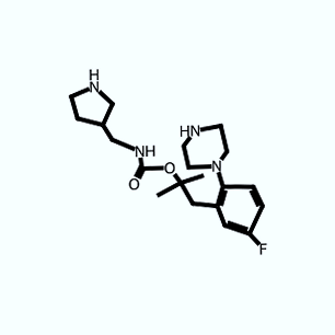 CC(C)(Cc1cc(F)ccc1N1CCNCC1)OC(=O)NCC1CCNC1